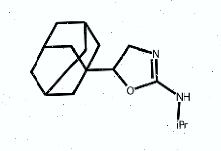 CC(C)NC1=NCC(C23CC4CC(CC(C4)C2)C3)O1